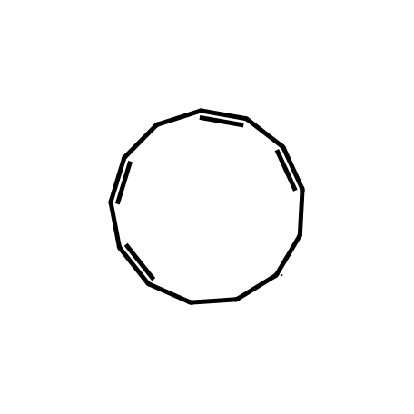 [CH]1CC=CC=CCC=CC=CCC1